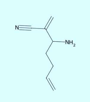 C=CCCC(N)C(=C)C#N